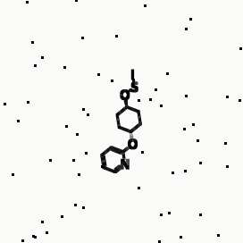 ISO[C@H]1CC[C@H](Oc2ccccn2)CC1